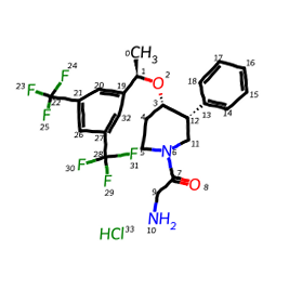 C[C@@H](O[C@H]1CCN(C(=O)CN)C[C@H]1c1ccccc1)c1cc(C(F)(F)F)cc(C(F)(F)F)c1.Cl